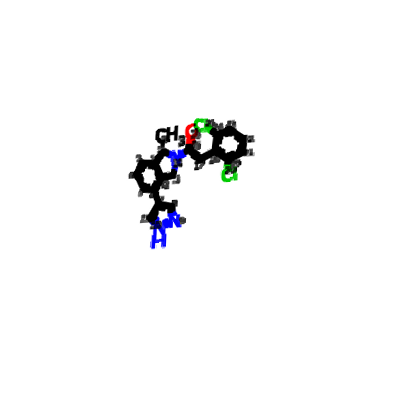 C[C@H]1c2cccc(-c3cn[nH]c3)c2CN1C(=O)Cc1c(Cl)cccc1Cl